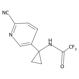 N#Cc1ccc(C2(NC(=O)C(F)(F)F)CC2)cn1